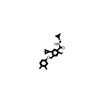 Cc1ccc(OCc2cc(F)c(C(=O)NSC3CC3)cc2C2CC2)cc1C